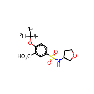 [2H]C([2H])([2H])Oc1ccc(S(=O)(=O)N[C@H]2CCOC2)cc1C(=O)O